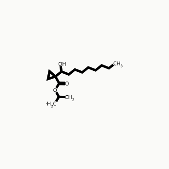 [CH2]C([CH2])OC(=O)C1(C(O)CCCCCCCC)CC1